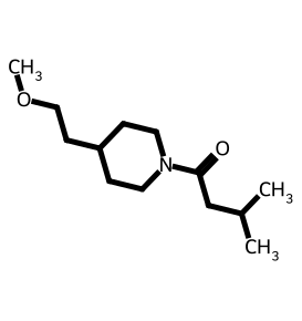 COCCC1CCN(C(=O)CC(C)C)CC1